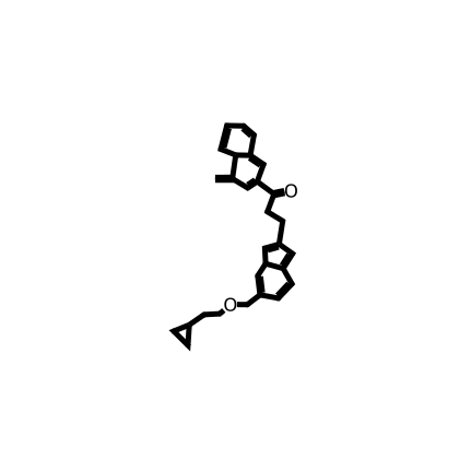 C=C1C=C(C(=O)CCC2=CC3C=C(COCCC4CC4)C=CC3=C2)C=C2C=CC=CC12